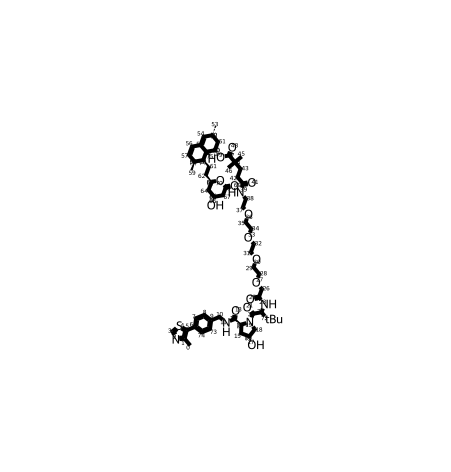 Cc1ncsc1-c1ccc(CNC(=O)[C@@H]2C[C@@H](O)CN2C(=O)C(NC(=O)COCCOCCOCCOCCNC(=O)CCC(C)(C)C(=O)O[C@H]2C[C@@H](C)C=C3C=C[C@H](C)[C@H](CC[C@@H]4C[C@@H](O)CC(=O)O4)[C@H]32)C(C)(C)C)cc1